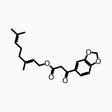 CC(C)=CCC/C(C)=C/COC(=O)CC(=O)c1ccc2c(c1)OCO2